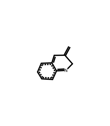 C=C1C=c2ccccc2=NC1